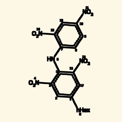 CCCCCCc1cc([N+](=O)[O-])c(Nc2ccc([N+](=O)[O-])cc2[N+](=O)[O-])c([N+](=O)[O-])c1